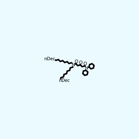 CCCCCCCCCCCCCCCCCCN(CCCCCCCCCCCCCCCCCC)C(=O)CC(=O)CC(=O)N(C1CCCCC1)C1CCCCC1